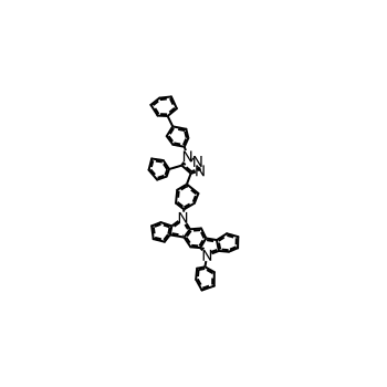 c1ccc(-c2ccc(-n3nnc(-c4ccc(-n5c6ccccc6c6cc7c(cc65)c5ccccc5n7-c5ccccc5)cc4)c3-c3ccccc3)cc2)cc1